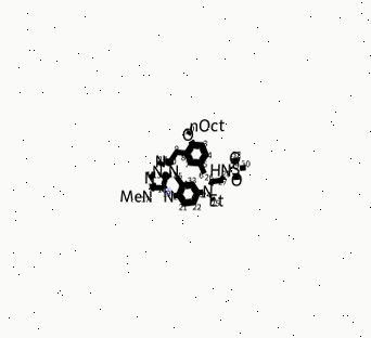 CCCCCCCCOc1ccc(C)cc1Cc1nc2n(n1)N=C(NC)/C2=N/c1ccc(N(CC)CCNS(C)(=O)=O)cc1C